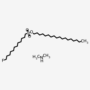 CCCCCCCCCCCCCCCCCCOS(=O)(=O)CCCCCCCCCCCCF.CNC